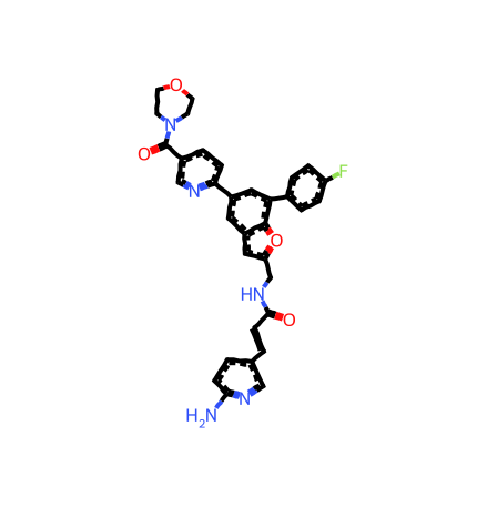 Nc1ccc(C=CC(=O)NCc2cc3cc(-c4ccc(C(=O)N5CCOCC5)cn4)cc(-c4ccc(F)cc4)c3o2)cn1